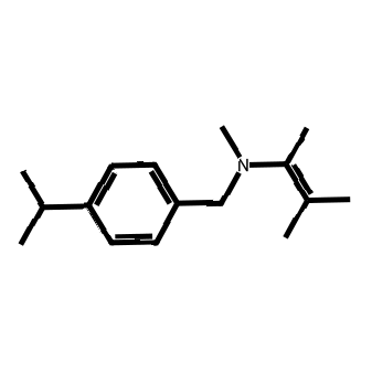 CC(C)=C(C)N(C)Cc1ccc(C(C)C)cc1